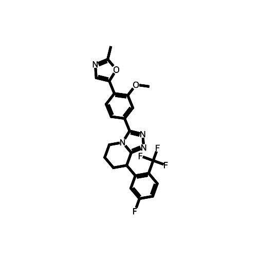 COc1cc(-c2nnc3n2CCCC3c2cc(F)ccc2C(F)(F)F)ccc1-c1cnc(C)o1